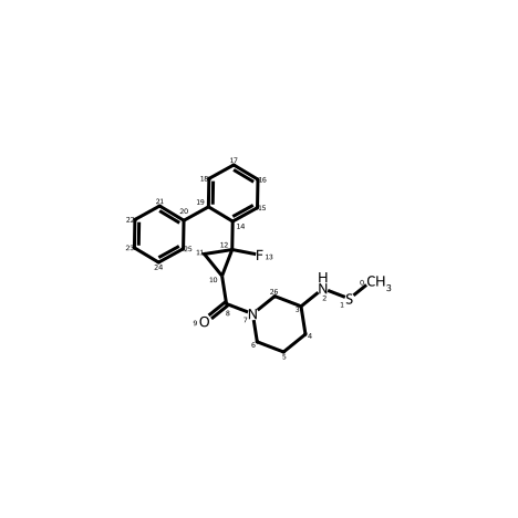 CSNC1CCCN(C(=O)C2CC2(F)c2ccccc2-c2ccccc2)C1